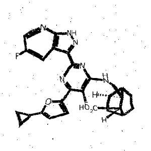 O=C(O)[C@H]1C2CCC(CC2)[C@@H]1Nc1nc(-c2n[nH]c3ncc(F)cc23)nc(-c2ccc(C3CC3)o2)c1F